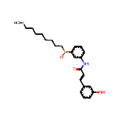 CCCCCCCCCCCCCCCCCC[S+]([O-])c1cccc(NC(=O)C=Cc2cccc(O)c2)c1